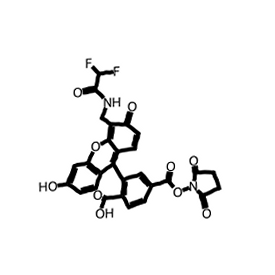 O=C(ON1C(=O)CCC1=O)c1ccc(C(=O)O)c(-c2c3ccc(=O)c(CNC(=O)C(F)F)c-3oc3cc(O)ccc23)c1